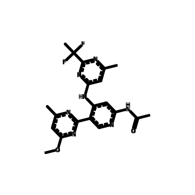 COc1cc(C)nc(-c2cnc(NC(C)=O)cc2Nc2cc(C)nc(C(C)(F)F)n2)n1